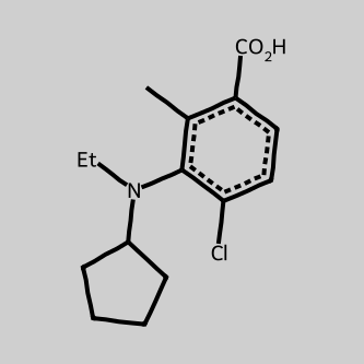 CCN(c1c(Cl)ccc(C(=O)O)c1C)C1CCCC1